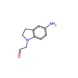 Nc1ccc2c(c1)CCN2CC=O